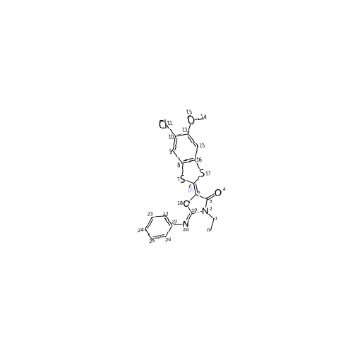 CCN1C(=O)/C(=C2/Sc3cc(Cl)c(OC)cc3S2)OC1=Nc1ccccc1